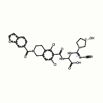 N#C/N=C(/NC(NC(=O)c1c(Cl)cc2c(c1Cl)CCN(C(=O)c1ccc3ccoc3c1)C2)C(=O)O)N1CC[C@H](O)C1